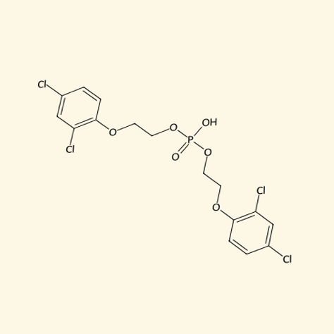 O=P(O)(OCCOc1ccc(Cl)cc1Cl)OCCOc1ccc(Cl)cc1Cl